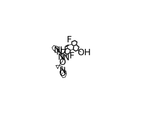 C#Cc1c(F)ccc2cc(O)cc(-c3c(C)cc4c(N5CC6CCC(C5)N6)nc(OCC5(CN6CC7CCC(C6)O7)CC5)nc4c3F)c12